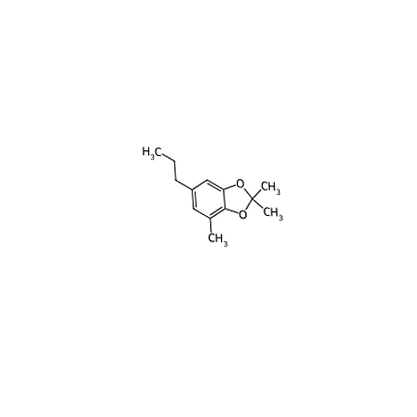 CCCc1cc(C)c2c(c1)OC(C)(C)O2